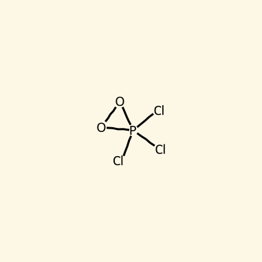 ClP1(Cl)(Cl)OO1